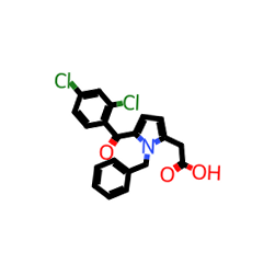 O=C(O)Cc1ccc(C(=O)c2ccc(Cl)cc2Cl)n1Cc1ccccc1